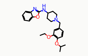 CCOc1cc(CN2CCC(Nc3nc4ccccc4o3)CC2)ccc1OC(C)C